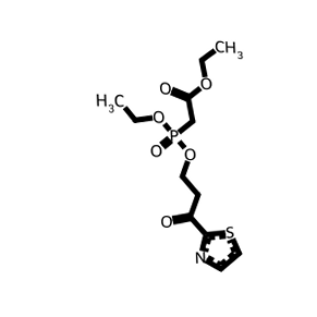 CCOC(=O)CP(=O)(OCC)OCCC(=O)c1nccs1